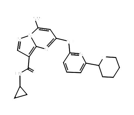 CNc1cc(Nc2cccc(C3CCCCO3)n2)nc2c(C(=O)NC3CC3)cnn12